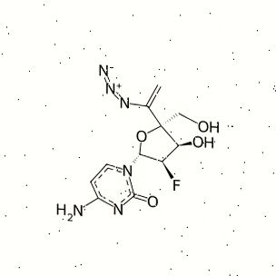 C=C(N=[N+]=[N-])[C@]1(CO)O[C@@H](n2ccc(N)nc2=O)[C@H](F)[C@@H]1O